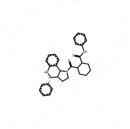 O=C(Nc1ccccc1)C1CCCCC1C(=O)N1CCC2C1c1ccccc1N[C@H]2c1ccccc1